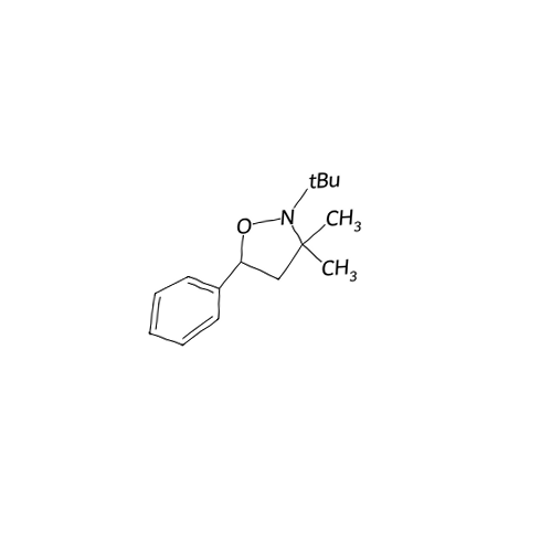 CC(C)(C)N1OC(c2ccccc2)CC1(C)C